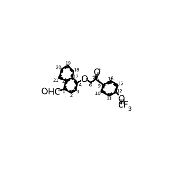 O=Cc1ccc(OCC(=O)c2ccc(OC(F)(F)F)cc2)c2ccccc12